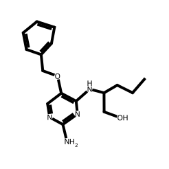 CCCC(CO)Nc1nc(N)ncc1OCc1ccccc1